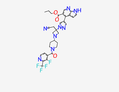 CCCOC(=O)c1cnc2[nH]ccc2c1-c1cnn(C2(CC#N)CN(C3CCN(C(=O)c4ccnc(C(F)(F)F)c4F)CC3)C2)c1